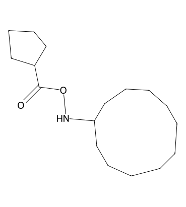 O=C(ONC1CCCCCCCCCC1)C1CCCC1